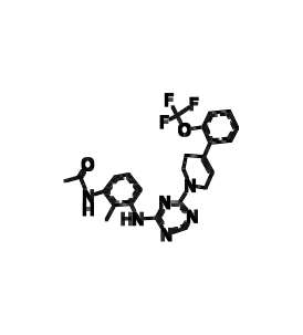 CC(=O)Nc1cccc(Nc2ncnc(N3CC=C(c4ccccc4OC(F)(F)F)CC3)n2)c1C